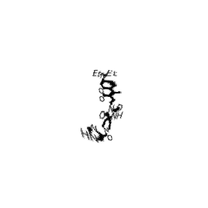 CCN(CC)c1ccc2c(C)c(CCN3C(=O)NC4(CCN(C(=O)c5c[nH]cn5)CC4)C3=O)c(=O)oc2c1